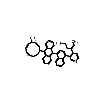 C/C=C(\CCN)c1ccncc1-c1ccc(-c2c3ccccc3c(C3/C=C\C(C)/C=C\C=C/CC3)c3ccccc23)c2ccccc12